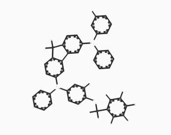 Cc1cccc(N(c2ccccc2)c2ccc3c(c2)-c2cc(N(c4ccccc4)c4ccc(BC(C)(C)c5c(F)c(F)c(F)c(F)c5F)c(C)c4)ccc2C3(C)C)c1